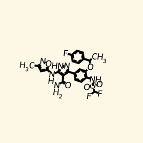 Cc1cc(Nc2[nH]nc(-c3ccc(NS(=O)(=O)C(F)F)c(OC(C)c4ccc(F)cc4)c3)c2C(N)=O)on1